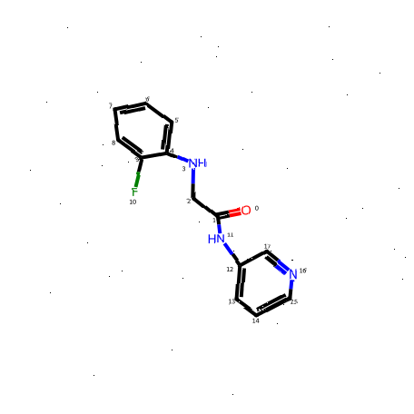 O=C(CNc1ccccc1F)Nc1cccnc1